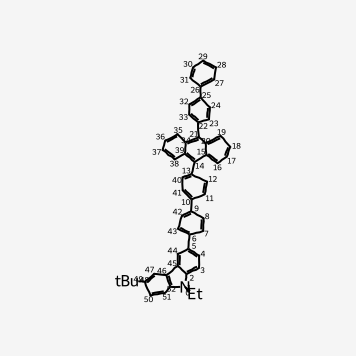 CCn1c2ccc(-c3ccc(-c4ccc(-c5c6ccccc6c(-c6ccc(-c7ccccc7)cc6)c6ccccc56)cc4)cc3)cc2c2cc(C(C)(C)C)ccc21